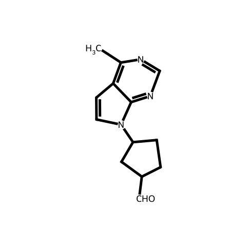 Cc1ncnc2c1ccn2C1CCC(C=O)C1